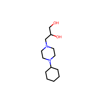 OCC(O)CN1CCN(C2CCCCC2)CC1